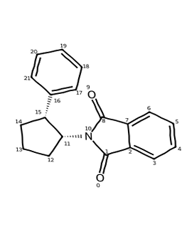 O=C1c2ccccc2C(=O)N1[C@@H]1CCC[C@@H]1c1ccccc1